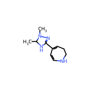 CC1NC(C2=CCCNC=C2)=NN1C